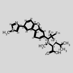 CC(C)C[C@@H](C(=O)O)N(C)[C@@H](c1ccc2c(c1)oc1ccc(-c3cn(C)cn3)cc12)C(F)(F)F